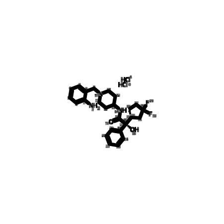 Cl.Cl.Nc1ccccc1CN1CCC(NC(=O)[C@](O)(c2ccccc2)[C@@H]2CCC(F)(F)C2)CC1